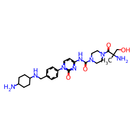 CC(N)(CO)C(=O)N1CCN(C(=O)Nc2ccn(-c3ccc(CNC4CCC(N)CC4)cc3)c(=O)n2)CC1